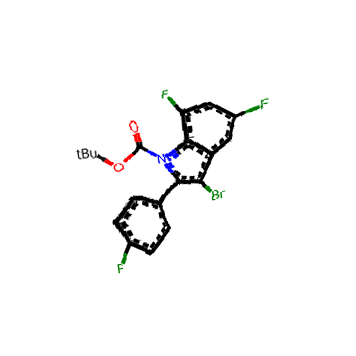 CC(C)(C)OC(=O)n1c(-c2ccc(F)cc2)c(Br)c2cc(F)cc(F)c21